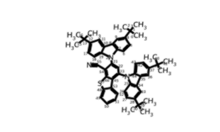 CC(C)(C)c1ccc2c(c1)c1cc(C(C)(C)C)ccc1n2-c1cc(-n2c3ccc(C(C)(C)C)cc3c3cc(C(C)(C)C)ccc32)c2c(sc3ccccc32)c1C#N